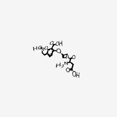 NC(CC(=O)O)C(=O)N1CC(Oc2ccc3c(c2C(=O)O)OB(O)CC3)C1